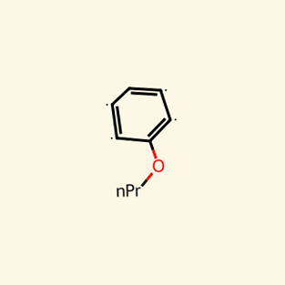 CCCOc1[c][c]c[c][c]1